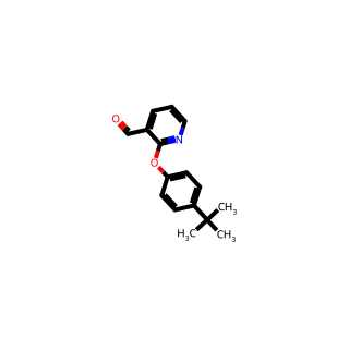 CC(C)(C)c1ccc(Oc2ncccc2C=O)cc1